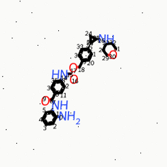 Nc1ccccc1NC(=O)c1ccc(NC(=O)OCc2ccc([C@H]3C[C@@H]3NC3CCOCC3)cc2)cc1